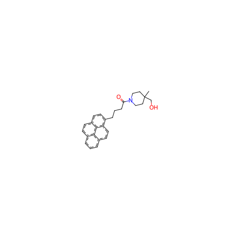 CC1(CO)CCN(C(=O)CCCc2ccc3ccc4cccc5ccc2c3c45)CC1